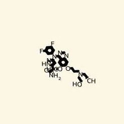 C#CCN(CCO)CCCOc1cc2ncnc(N(c3cc(F)cc(F)c3)c3cc(CC(N)=O)[nH]n3)c2cc1OC